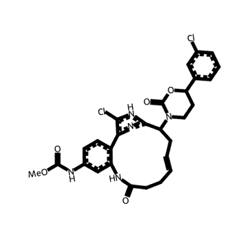 COC(=O)Nc1ccc2c(c1)NC(=O)CC/C=C/CC(N1CCC(c3cccc(Cl)c3)OC1=O)c1nc-2c(Cl)[nH]1